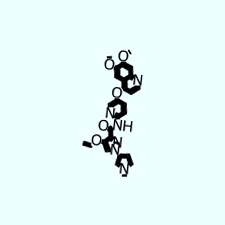 CCOc1cn(C2CCN(C)C2)nc1C(=O)Nc1ccc(Oc2ccnc3cc(OC)c(OC)cc23)cn1